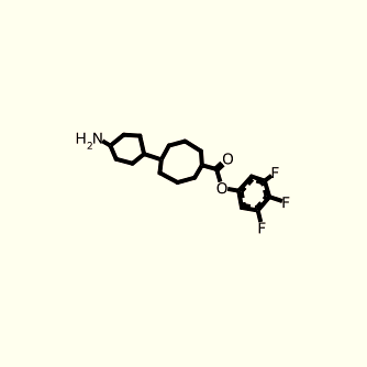 NC1CCC(C2CCCC(C(=O)Oc3cc(F)c(F)c(F)c3)CCC2)CC1